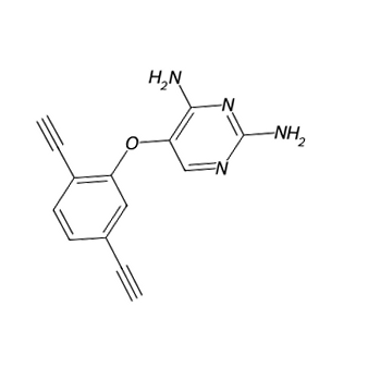 C#Cc1ccc(C#C)c(Oc2cnc(N)nc2N)c1